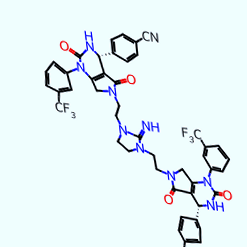 N#Cc1ccc([C@H]2NC(=O)N(c3cccc(C(F)(F)F)c3)C3=C2C(=O)N(CCN2CCN(CCN4CC5=C(C4=O)[C@@H](c4ccc(C#N)cc4)NC(=O)N5c4cccc(C(F)(F)F)c4)C2=N)C3)cc1